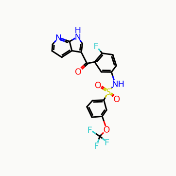 O=C(c1cc(NS(=O)(=O)c2cccc(OC(F)(F)F)c2)ccc1F)c1c[nH]c2ncccc12